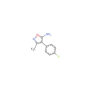 Nc1onc(C(F)(F)F)c1-c1ccc(F)cc1